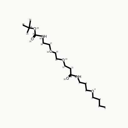 CCCCOCCCNC(=O)CCOCCOCCNC(=O)OC(C)(C)C